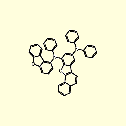 c1ccc(N(c2ccccc2)c2cc(N(c3ccccc3)c3cccc4oc5ccccc5c34)c3oc4c5ccccc5ccc4c3c2)cc1